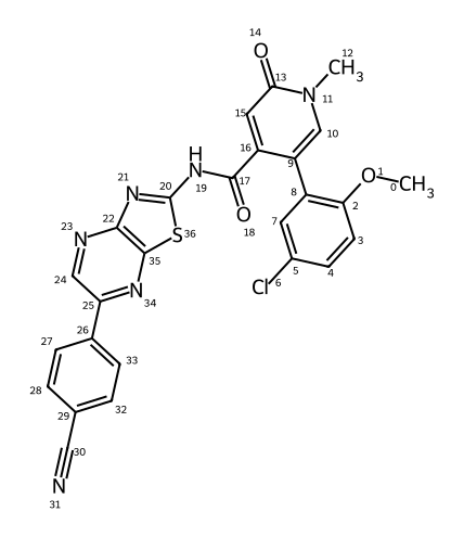 COc1ccc(Cl)cc1-c1cn(C)c(=O)cc1C(=O)Nc1nc2ncc(-c3ccc(C#N)cc3)nc2s1